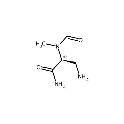 CN(C=O)[C@@H](CN)C(N)=O